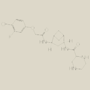 O=C(COc1ccc(Cl)c(F)c1)N[C@@H]1C[C@H](NC(=O)C2CNCCN2)C2CC1C2